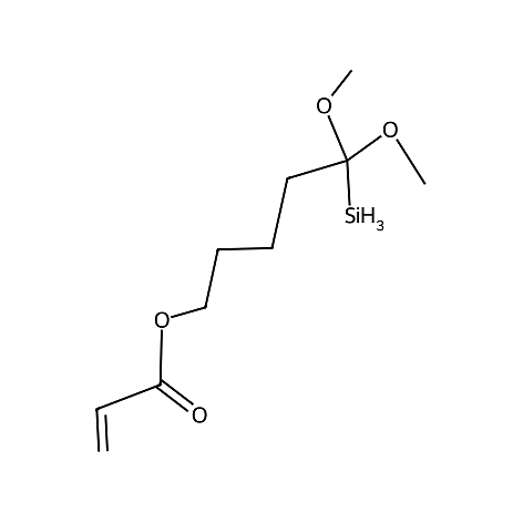 C=CC(=O)OCCCCC([SiH3])(OC)OC